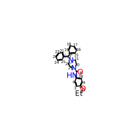 CCOc1ccc(NC(=O)N2CCN(C(c3ccccc3)c3ccccc3)CC2)cc1